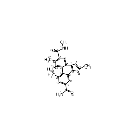 CNC(=O)c1cc2c3cc(C)sc3c3cc(C(N)=O)cc(C)c3c2c(C)c1C